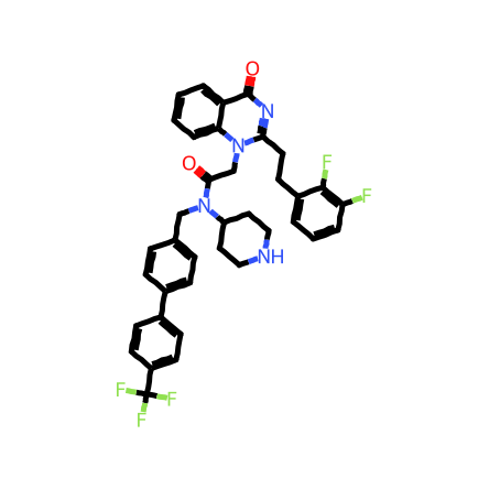 O=C(Cn1c(CCc2cccc(F)c2F)nc(=O)c2ccccc21)N(Cc1ccc(-c2ccc(C(F)(F)F)cc2)cc1)C1CCNCC1